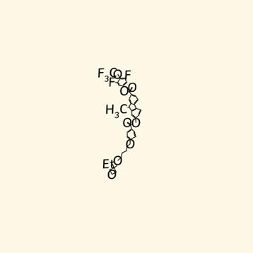 CCC1(COCCCCOc2ccc(C(=O)Oc3ccc4c(c3)C(C)c3cc(C(=O)Oc5cc(F)c(OC(F)(F)F)c(F)c5)ccc3-4)cc2)COC1